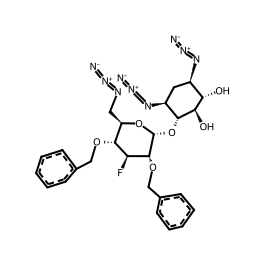 [N-]=[N+]=NC[C@H]1O[C@H](O[C@H]2[C@H](O)[C@@H](O)[C@H](N=[N+]=[N-])C[C@@H]2N=[N+]=[N-])[C@H](OCc2ccccc2)[C@@H](F)[C@@H]1OCc1ccccc1